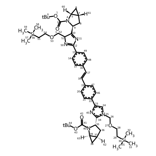 CC(C)(C)OC(=O)N1[C@@H]2C[C@@H]2C[C@H]1C1=NC(c2ccc(/C=C/c3ccc(-c4cn(COCC[Si](C)(C)C)c([C@@H]5C[C@H]6C[C@H]6N5C(=O)OC(C)(C)C)n4)cc3)cc2)=NC1COCC[Si](C)(C)C